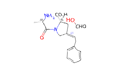 C[C@H](N)C(=O)N1C/C(=C\c2ccccc2)C[C@H]1C(=O)O.O=CO